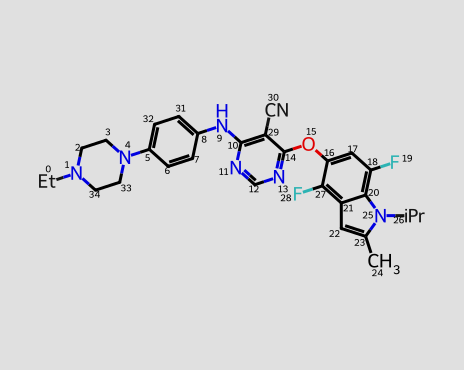 CCN1CCN(c2ccc(Nc3ncnc(Oc4cc(F)c5c(cc(C)n5C(C)C)c4F)c3C#N)cc2)CC1